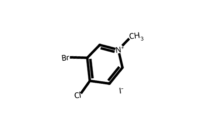 C[n+]1ccc(Cl)c(Br)c1.[I-]